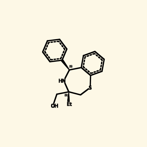 CC[C@]1(CO)CSc2ccccc2[C@H](c2ccccc2)N1